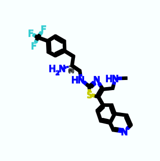 CNCc1nc(NC[C@H](N)Cc2ccc(C(F)(F)F)cc2)sc1-c1ccc2cnccc2c1